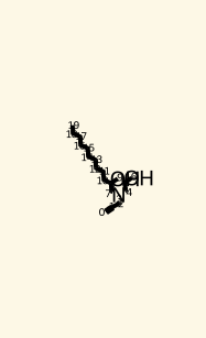 C#CCN(CCO)CC(O)CCCCCCCCCC